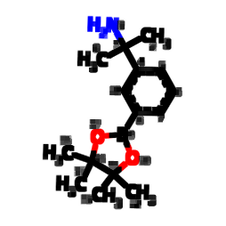 CC(C)(N)c1cccc(B2OC(C)(C)C(C)(C)O2)c1